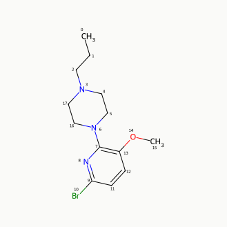 CCCN1CCN(c2nc(Br)ccc2OC)CC1